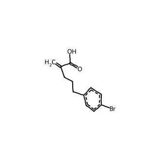 C=C(CCCc1ccc(Br)cc1)C(=O)O